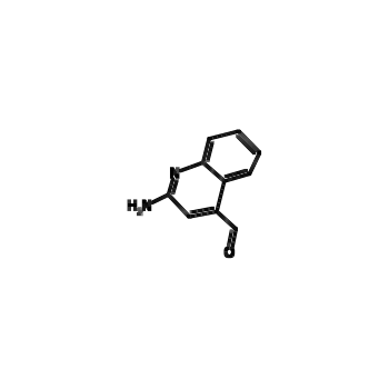 Nc1cc(C=O)c2ccccc2n1